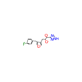 O=C(Cc1cocc1Cc1ccc(F)cc1)C(=O)c1nc[nH]n1